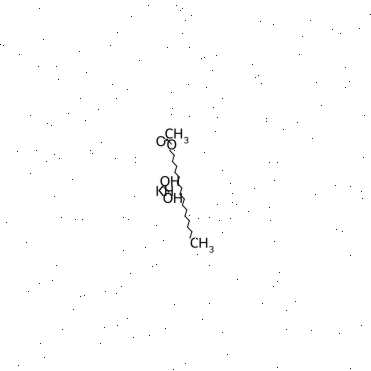 CCCCCCCCCCCCCCCCCCOC(C)=O.OCCO.[KH]